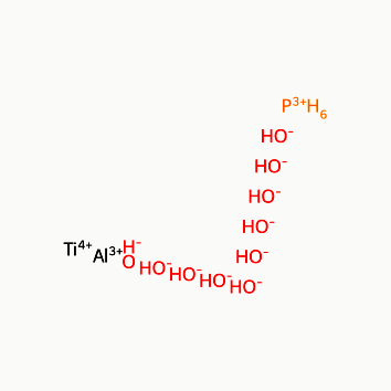 [Al+3].[OH-].[OH-].[OH-].[OH-].[OH-].[OH-].[OH-].[OH-].[OH-].[OH-].[PH6+3].[Ti+4]